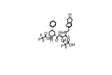 C[C@H](NC(=O)[C@H]1C[C@@H](c2ccccc2)CCN1)C(=O)NCc1cc2c(s1)CNC2.O=C(O)C(F)(F)F.O=C(O)C(F)(F)F